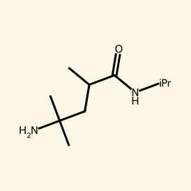 CC(C)NC(=O)C(C)CC(C)(C)N